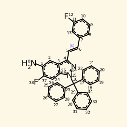 Nc1cc2c(/C=C/c3cccc(F)c3)nn(C(c3ccccc3)(c3ccccc3)c3ccccc3)c2cc1F